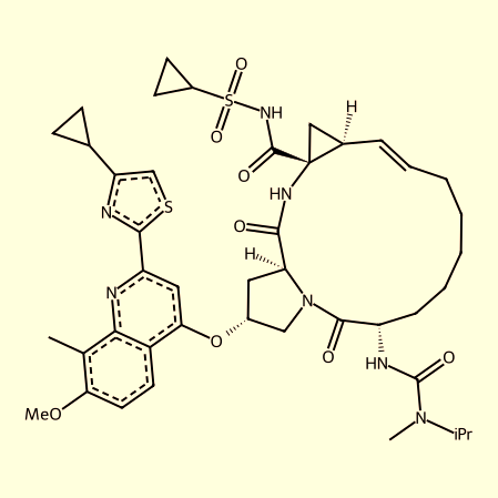 COc1ccc2c(O[C@@H]3C[C@H]4C(=O)N[C@]5(C(=O)NS(=O)(=O)C6CC6)C[C@H]5/C=C/CCCCC[C@H](NC(=O)N(C)C(C)C)C(=O)N4C3)cc(-c3nc(C4CC4)cs3)nc2c1C